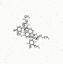 CCOC(=O)CN(c1ccc(N(CC(=O)OCC)S(=O)(=O)c2ccc(F)c(C)c2)c2ccccc12)S(=O)(=O)c1ccc(F)c(C)c1